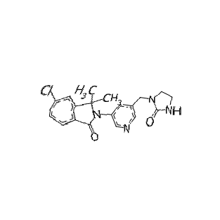 CC1(C)c2cc(Cl)ccc2C(=O)N1c1cncc(CN2CCNC2=O)c1